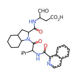 CC(C)C(NC(=O)c1nccc2ccccc12)C(=O)N1C(C(=O)NC(C=O)CC(=O)O)CC2CCCCC21